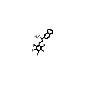 [CH2]C(CCc1c(F)c(F)c(F)c(F)c1F)c1ccc2ccccc2c1